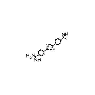 CC(=N)c1ccc(-c2cnc(-c3ccc(C(=N)N)cc3)cn2)cc1